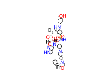 CC(C)c1ccccc1[C@@H]1COCCN1C1CC2(CCN(c3ccc(C(=O)NS(=O)(=O)c4ccc(NC[C@H]5CC[C@](C)(O)CC5)c([N+](=O)[O-])c4)c(N4C[C@@H]5OCCOC[C@H]5Oc5nc6[nH]ccc6cc54)c3)CC2)C1